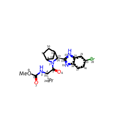 COC(=O)N[C@H](C(=O)N1C2CCC(C2)[C@H]1c1nc2ccc(Br)cc2[nH]1)C(C)C